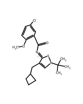 COc1ccc(Cl)cc1C(=O)/N=c1\sn(C(C)(C)C)cc1CC1CCC1